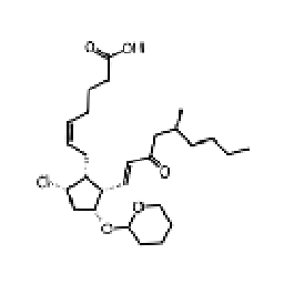 CCCC[C@H](C)CC(=O)/C=C/[C@H]1[C@@H](C/C=C\CCCC(=O)O)[C@@H](Cl)C[C@H]1OC1CCCCO1